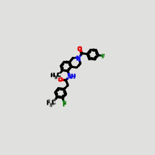 Cc1ccc2c(c1NC(=O)Cc1ccc(C(F)(F)F)c(F)c1)CCN(C(=O)c1ccc(F)cc1)C2